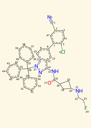 N#Cc1ccc(Cl)c(-c2ccc3c(c2)c(NC(=O)C2CC(NCCF)C2)nn3C(c2ccccc2)(c2ccccc2)c2ccccc2)c1